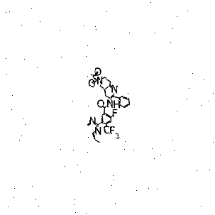 C=N/C(=N\C=C/C)c1cc(C(=O)Nc2cc3c(nc2-c2ccccc2)CCN(S(C)(=O)=O)C3)c(F)cc1C(F)(F)F